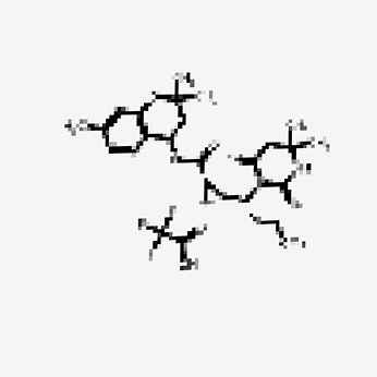 COCC[C@H]([C@@H]1C[C@H]1C(=O)NC1CC(C)(C)Oc2cc(C)ccc21)N1C(=N)NC(C)(C)CC1=O.O=C(O)C(F)(F)F